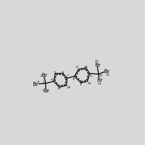 BrC(Br)(Br)c1ccc(-c2ccc(C(Br)(Br)Br)cc2)cc1